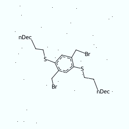 CCCCCCCCCCCCSc1cc(CBr)c(SCCCCCCCCCCCC)cc1CBr